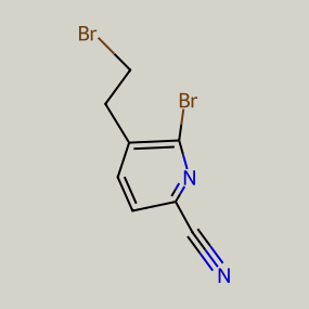 N#Cc1ccc(CCBr)c(Br)n1